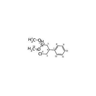 CO[SiH](CC(CCl)c1ccccc1)OC